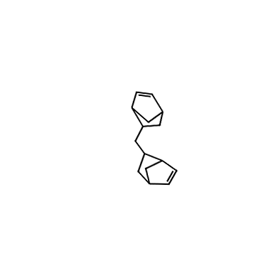 C1=CC2CC1CC2CC1CC2C=CC1C2